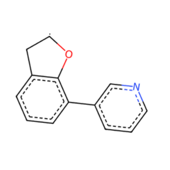 [CH]1Cc2cccc(-c3cccnc3)c2O1